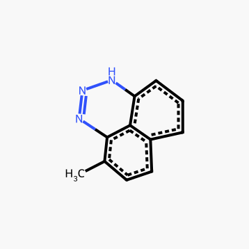 Cc1ccc2cccc3c2c1N=NN3